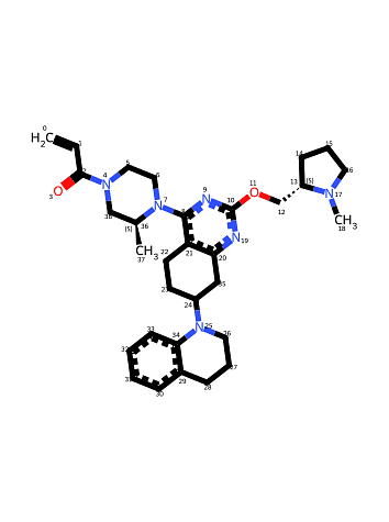 C=CC(=O)N1CCN(c2nc(OC[C@@H]3CCCN3C)nc3c2CCC(N2CCCc4ccccc42)C3)[C@@H](C)C1